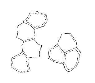 C1=Cc2cccc3cccc(c23)C1.c1ccc2c(c1)CCC1=C2CCc2ccccc21